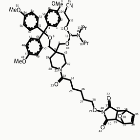 COc1ccc(C(OCC2(COP(OCCC#N)N(C(C)C)C(C)C)CCN(C(=O)CCCCCON3C(=O)C4C5C=CC(O5)C4C3=O)CC2)(c2ccc(OC)cc2)c2ccc(OC)cc2)cc1